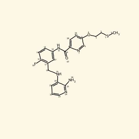 CSCCOc1cnc(C(=O)Nc2ccc(F)c(CNc3cccnc3N)c2)cn1